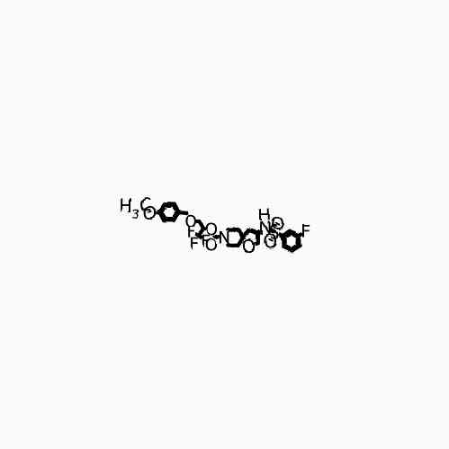 COc1ccc(COCC(OC(=O)N2CCC3(CC2)CC(NS(=O)(=O)c2cccc(F)c2)CO3)C(F)(F)F)cc1